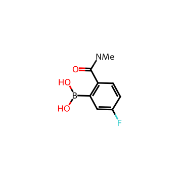 CNC(=O)c1ccc(F)cc1B(O)O